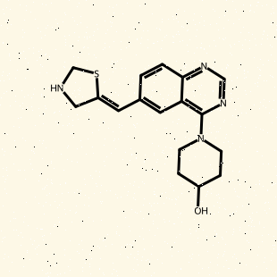 OC1CCN(c2ncnc3ccc(C=C4CNCS4)cc23)CC1